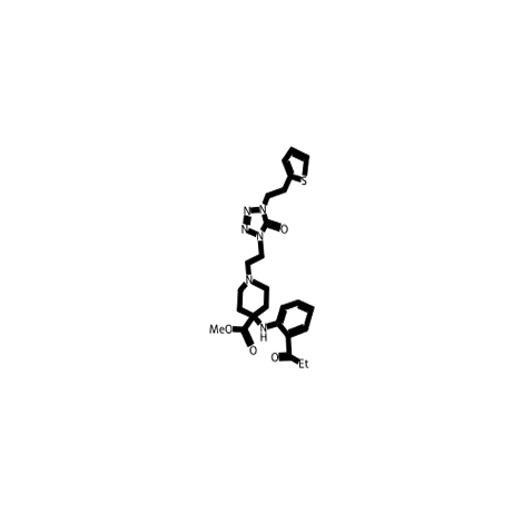 CCC(=O)c1ccccc1NC1(C(=O)OC)CCN(CCn2nnn(CCc3cccs3)c2=O)CC1